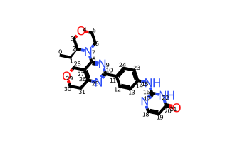 CC[C@H]1COCCN1c1nc(-c2ccc(Nc3nccc(=O)[nH]3)cc2)nc2c1COCC2